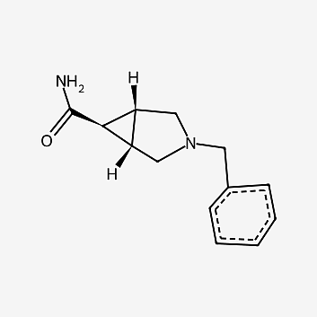 NC(=O)[C@H]1[C@@H]2CN(Cc3ccccc3)C[C@@H]21